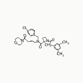 Cc1cc(C)cc(CC(=O)N2CCC2(C)C(=O)N(CCCC(=O)N2CCOCC2)Cc2ccc(Cl)cc2)c1